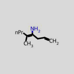 C=CCC(N)=C(C)CCC